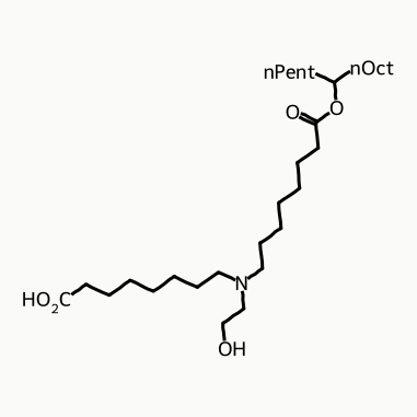 CCCCCCCCC(CCCCC)OC(=O)CCCCCCCN(CCO)CCCCCCCC(=O)O